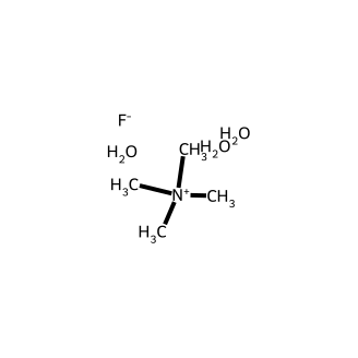 C[N+](C)(C)C.O.O.O.[F-]